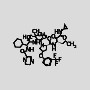 CCC[C@H](NC(=O)[C@@H]1C[C@@H](Oc2cccc(C(F)(F)F)c2)CN1C(=O)[C@@H](NC(=O)[C@@H](NC(=O)C1=NCCN=C1)C1CCCCC1)C(C)(C)C)C(=O)C(=O)NC1CC1